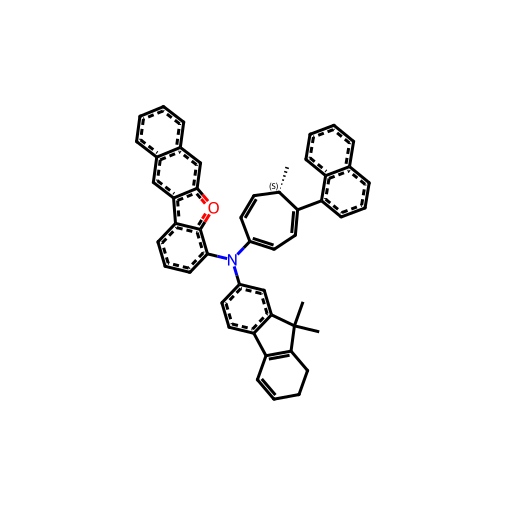 C[C@H]1C=CC(N(c2ccc3c(c2)C(C)(C)C2=C3C=CCC2)c2cccc3c2oc2cc4ccccc4cc23)=CC=C1c1cccc2ccccc12